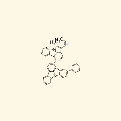 C/C=C\c1c(C)n2c3ccccc3c3c(-c4ccc5c6ccccc6n6c7ccc(-c8ccccc8)cc7c4c56)ccc1c32